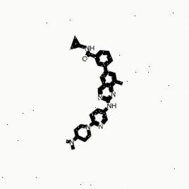 Cc1cc(-c2cccc(C(=O)NC3CC3)c2)cc2cnc(Nc3ccc(N4CCC(N(C)C)CC4)nc3)nc12